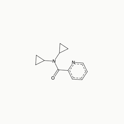 O=C(c1ccccn1)N(C1CC1)C1CC1